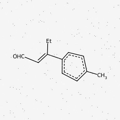 CCC(=CC=O)c1ccc(C)cc1